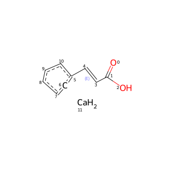 O=C(O)/C=C/c1ccccc1.[CaH2]